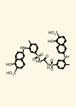 Cc1ccc(S(=O)(=O)NC(=O)NS(=O)(=O)c2ccc(C)c(Nc3ccc4c(O)c(S(=O)(=O)O)ccc4c3)c2)cc1Nc1ccc2c(O)c(S(=O)(=O)O)ccc2c1